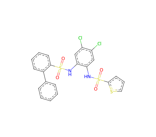 O=S(=O)(Nc1cc(Cl)c(Cl)cc1NS(=O)(=O)c1ccccc1-c1ccccc1)c1cccs1